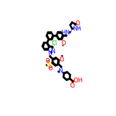 COc1cc(-c2cccc(-c3cccc4c3cnn4Cc3cc(OC)c(CN(C)C4CCC(C(=O)O)CC4)cc3S(C)(=O)=O)c2Cl)ccc1CNC[C@@H]1CCC(=O)N1